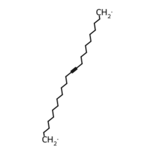 [CH2]CCCCCCCCCC#CCCCCCCCCCCC[CH2]